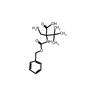 CC(C)(C)C(CN)(NC(=O)OCc1ccccc1)C(=O)O